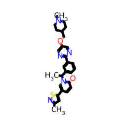 Cc1cc(-c2ccc(=O)n(C(C)c3cccc(-c4ncc(OCC5CCN(C)CC5)cn4)c3)c2)sn1